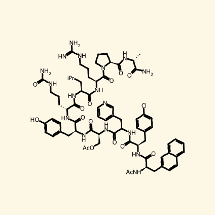 CC(=O)N[C@H](Cc1ccc2ccccc2c1)C(=O)N[C@H](Cc1ccc(Cl)cc1)C(=O)N[C@H](Cc1cccnc1)C(=O)N[C@@H](COC(C)=O)C(=O)N[C@@H](Cc1ccc(O)cc1)C(=O)N[C@H](CCCNC(N)=O)C(=O)N[C@@H](CC(C)C)C(=O)N[C@@H](CCCNC(=N)N)C(=O)N1CCC[C@H]1C(=O)N[C@H](C)C(N)=O